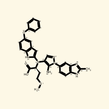 CSCC[C@@H](C(=O)O)N(c1cc2cc(Oc3ccccc3)ccc2[nH]1)c1cnn(-c2ccc3[nH]c(C)nc3c2)c1N